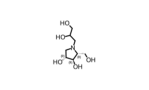 OCC(O)CN1C[C@@H](O)[C@H](O)[C@H]1CO